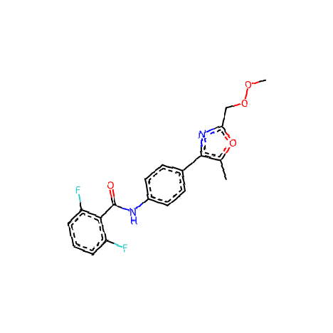 COOCc1nc(-c2ccc(NC(=O)c3c(F)cccc3F)cc2)c(C)o1